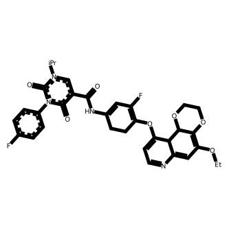 CCOC1=C2OCCOC2C2C(=C1)N=CC=C2OC1=C(F)C=C(NC(=O)c2cn(C(C)C)c(=O)n(-c3ccc(F)cc3)c2=O)CC1